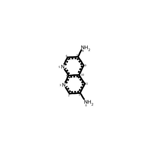 Nc1cnc2ncc(N)cc2c1